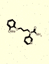 COc1c[c]ccc1OCCCN(C(N)=O)c1cccnc1